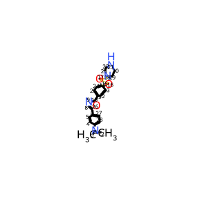 CN(C)c1ccc(-c2cnc(-c3ccc(S(=O)(=O)N4CCNCC4)cc3)o2)cc1